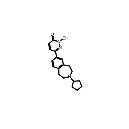 Cn1nc(-c2ccc3c(c2)CCN(C2CCCC2)CC3)ccc1=O